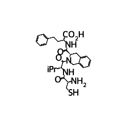 CC(C)[C@H](NC(=O)[C@@H](N)CS)C(=O)N1Cc2ccccc2C[C@@H]1C(=O)N[C@@H](CCc1ccccc1)C(=O)O